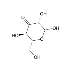 O=C1[C@H](O)C(O)O[C@H](CO)[C@H]1O